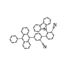 N#Cc1cc(-c2c3ccccc3c(-c3ccccc3)c3ccccc23)ccc1-c1cccc(C#N)c1-n1c2ccccc2c2ccccc21